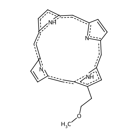 COCCc1cc2cc3nc(cc4ccc(cc5nc(cc1[nH]2)C=C5)[nH]4)C=C3